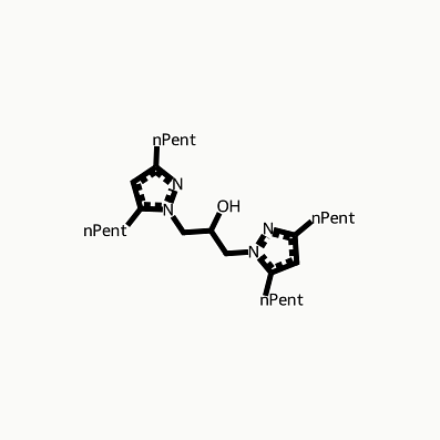 CCCCCc1cc(CCCCC)n(CC(O)Cn2nc(CCCCC)cc2CCCCC)n1